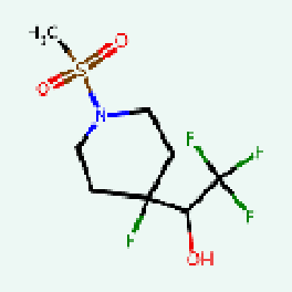 CS(=O)(=O)N1CCC(F)(C(O)C(F)(F)F)CC1